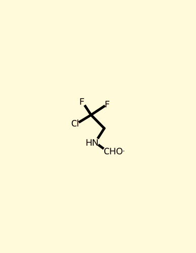 O=[C]NCC(F)(F)Cl